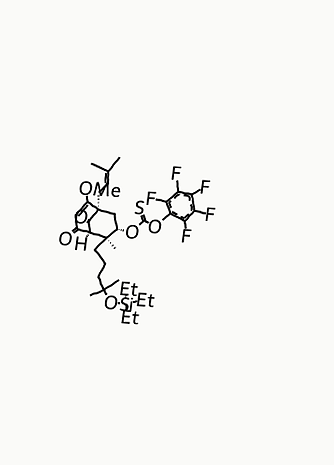 CC[Si](CC)(CC)OC(C)(C)CCC[C@@]1(C)[C@H]2C(=O)C=C(OC)[C@@](CC=C(C)C)(C[C@@H]1OC(=S)Oc1c(F)c(F)c(F)c(F)c1F)C2=O